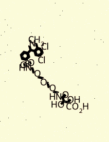 CN1Cc2c(Cl)cc(Cl)cc2C(c2cccc(S(=O)(=O)NCCOCCOCCOCCNC(=O)C(O)C(O)C(=O)O)c2)C1